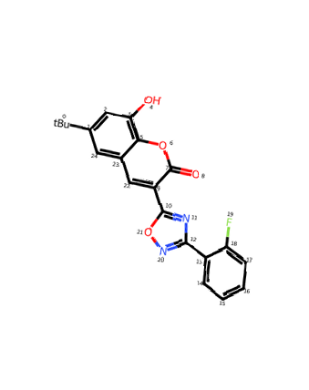 CC(C)(C)c1cc(O)c2oc(=O)c(-c3nc(-c4ccccc4F)no3)cc2c1